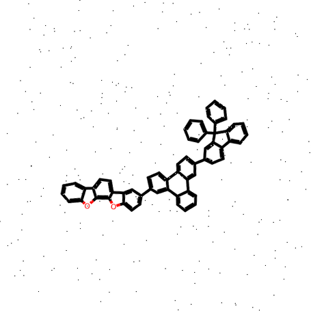 c1ccc(C2(c3ccccc3)c3ccccc3-c3ccc(-c4ccc5c6ccc(-c7ccc8oc9c(ccc%10c%11ccccc%11oc%109)c8c7)cc6c6ccccc6c5c4)cc32)cc1